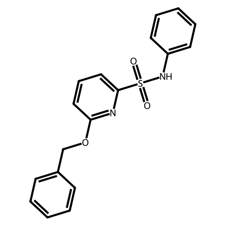 O=S(=O)(Nc1ccccc1)c1cccc(OCc2ccccc2)n1